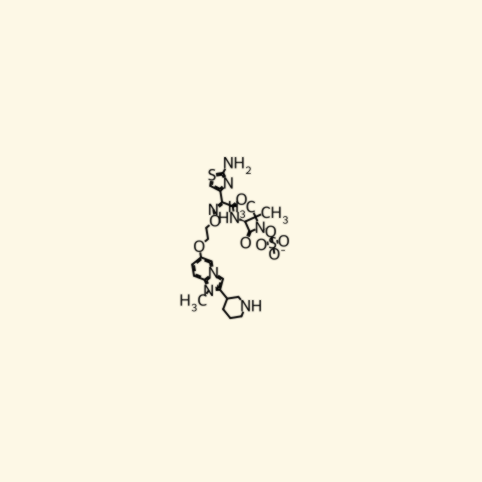 C[n+]1c(C2CCCNC2)cn2cc(OCCO/N=C(\C(=O)N[C@@H]3C(=O)N(OS(=O)(=O)[O-])C3(C)C)c3csc(N)n3)ccc21